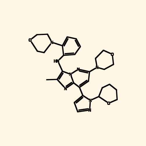 Cc1nc2c(-c3ccnn3C3CCCCO3)cc(N3CCOCC3)nn2c1Nc1ccccc1N1CCOCC1